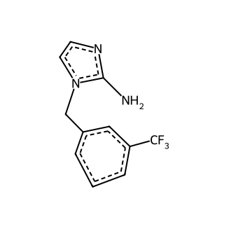 Nc1nccn1Cc1cccc(C(F)(F)F)c1